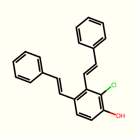 Oc1ccc(C=Cc2ccccc2)c(C=Cc2ccccc2)c1Cl